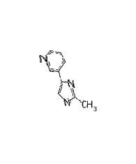 CC1=NC(c2cccnc2)=C[N]1